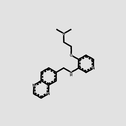 CN(C)CCOc1ccncc1NCc1ccc2nccnc2c1